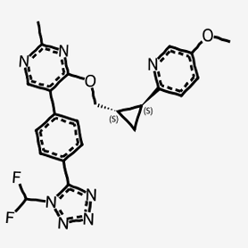 COc1ccc([C@H]2C[C@@H]2COc2nc(C)ncc2-c2ccc(-c3nnnn3C(F)F)cc2)nc1